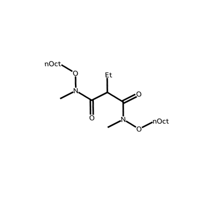 CCCCCCCCON(C)C(=O)C(CC)C(=O)N(C)OCCCCCCCC